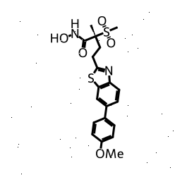 COc1ccc(-c2ccc3nc(CC[C@](C)(C(=O)NO)S(C)(=O)=O)sc3c2)cc1